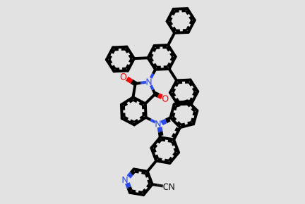 N#Cc1ccncc1-c1ccc2c3ccccc3n(-c3cccc4c3C(=O)N(c3c(-c5ccccc5)cc(-c5ccccc5)cc3-c3ccccc3)C4=O)c2c1